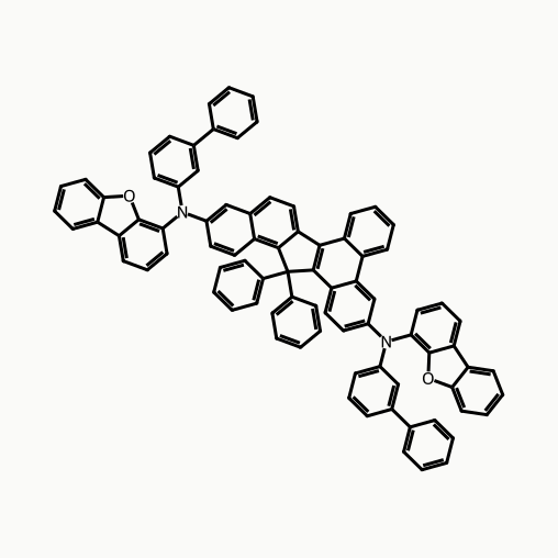 c1ccc(-c2cccc(N(c3ccc4c5c(ccc4c3)-c3c(c4ccc(N(c6cccc(-c7ccccc7)c6)c6cccc7c6oc6ccccc67)cc4c4ccccc34)C5(c3ccccc3)c3ccccc3)c3cccc4c3oc3ccccc34)c2)cc1